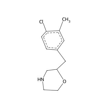 Cc1cc(CC2CNCCO2)ccc1Cl